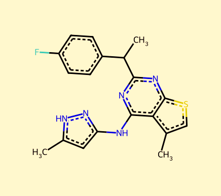 Cc1cc(Nc2nc(C(C)c3ccc(F)cc3)nc3scc(C)c23)n[nH]1